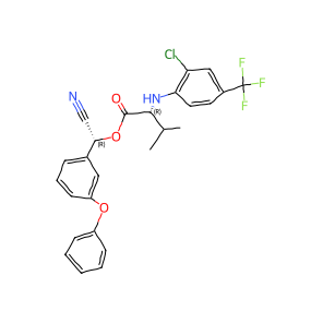 CC(C)[C@@H](Nc1ccc(C(F)(F)F)cc1Cl)C(=O)O[C@@H](C#N)c1cccc(Oc2ccccc2)c1